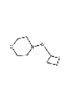 C1CN(SC2CCS2)CCO1